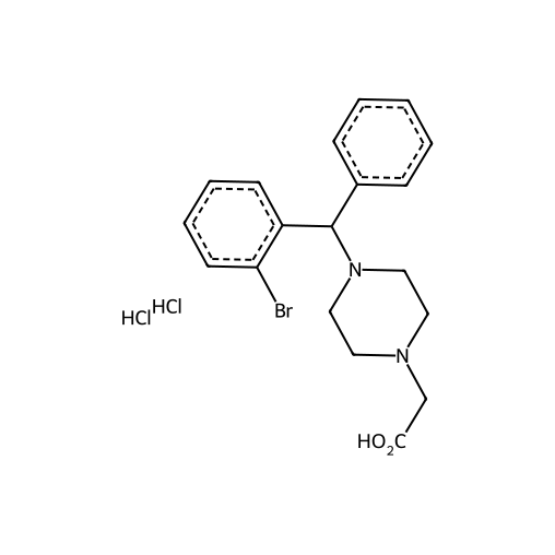 Cl.Cl.O=C(O)CN1CCN(C(c2ccccc2)c2ccccc2Br)CC1